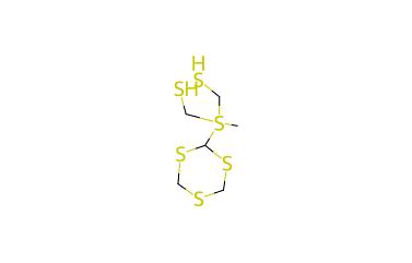 CS(CS)(CS)C1SCSCS1